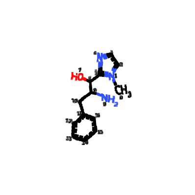 Cn1ccnc1C(O)C(N)Cc1ccccc1